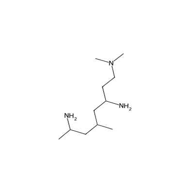 CC(N)CC(C)CC(N)CCN(C)C